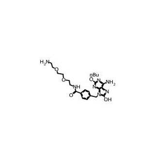 CCCCOc1nc(N)c2nc(O)n(Cc3ccc(C(=O)NCCOCCOCCN)cc3)c2n1